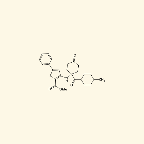 COC(=O)c1sc(-c2ccccc2)cc1NC1(C(=O)C2CCC(C)CC2)CCC(=O)CC1